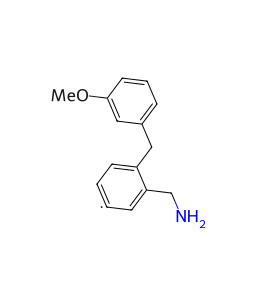 COc1cccc(Cc2cc[c]cc2CN)c1